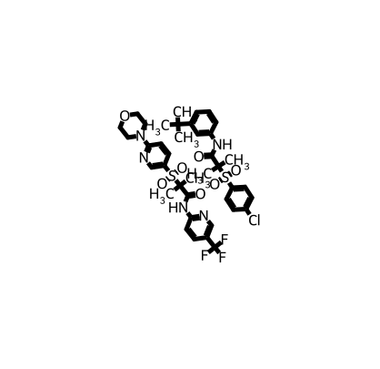 CC(C)(C(=O)Nc1ccc(C(F)(F)F)cn1)S(=O)(=O)c1ccc(N2CCOCC2)nc1.CC(C)(C)c1cccc(NC(=O)C(C)(C)S(=O)(=O)c2ccc(Cl)cc2)c1